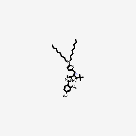 CCCCCCCCN(CCCCCCCC)c1ccc(/C=c2/c(C(C)(C)C)nn3c(-c4ccc(OC)cc4OC)nnc23)s1